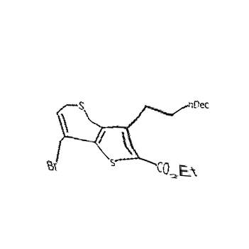 CCCCCCCCCCCCc1c(C(=O)OCC)sc2c(Br)csc12